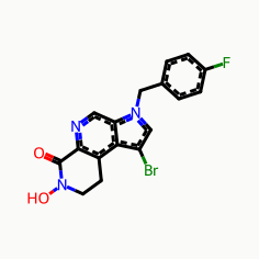 O=C1c2ncc3c(c(Br)cn3Cc3ccc(F)cc3)c2CCN1O